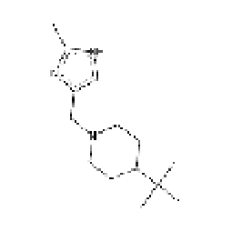 Cc1nc(CN2CCC(C(C)(C)C)CC2)c[nH]1